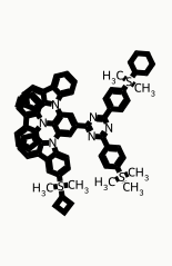 CS(C)(C)c1ccc(-c2nc(-c3ccc(S(C)(C)C4CCCCC4)cc3)nc(-c3cc(-n4c5ccccc5c5ccccc54)c(-n4c5ccc#cc5c5ccccc54)c(-n4c5ccccc5c5cc(S(C)(C)C6CCC6)ccc54)c3)n2)cc1